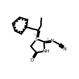 CC/C(c1ccccc1)=S1/CC(=O)N/C1=N\C#N